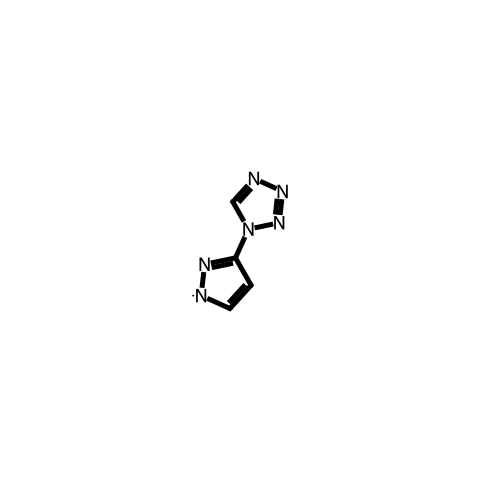 C1=CC(n2cnnn2)=N[N]1